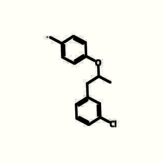 [CH2]c1ccc(OC(C)Cc2cccc(Cl)c2)cc1